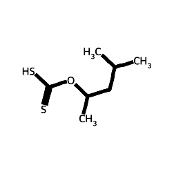 CC(C)CC(C)OC(=S)S